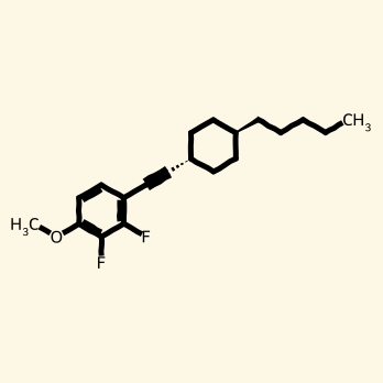 CCCCC[C@H]1CC[C@H](C#Cc2ccc(OC)c(F)c2F)CC1